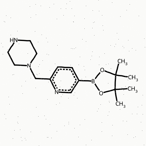 CC1(C)OB(c2ccc(CN3CCNCC3)nc2)OC1(C)C